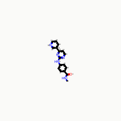 CNC(=O)c1ccc(Nc2nccc(-c3cccnc3)n2)cc1